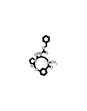 CN1CC[C@H](NC(=O)OCc2ccccc2)C(=O)N2CCC[C@H]2COc2cccc(c2)C1=O